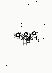 CB(Cc1ccccc1)N1C(=O)NC2(CC(c3ccccc3)C2)C1=O